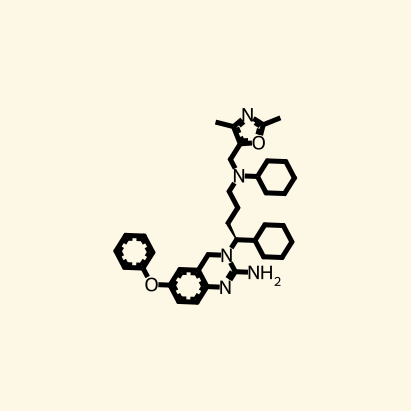 Cc1nc(C)c(CN(CCC[C@@H](C2CCCCC2)N2Cc3cc(Oc4ccccc4)ccc3N=C2N)C2CCCCC2)o1